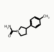 Cc1ccc(C2[CH]CN(C(N)=O)C2)cc1